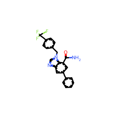 NC(=O)c1cc(-c2ccccc2)cc2ncn(Cc3ccc(C(F)(F)F)cc3)c12